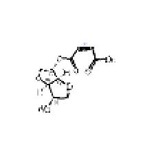 O=C(O)/C=C\C(=O)O[C@H]1CO[C@H]2[C@@H]1OC[C@H]2O